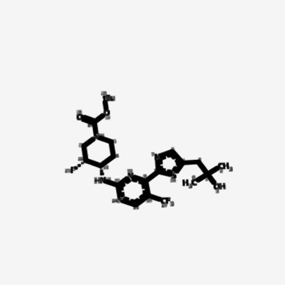 CC(C)(O)Cc1cnc(-c2nc(N[C@H]3CCN(C(=O)OC(C)(C)C)C[C@H]3F)ncc2C(F)(F)F)s1